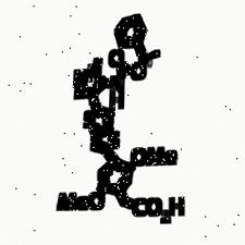 COc1cc(-c2cc3sc(-c4cnn(C)c4NC(=O)O[C@H](C)c4ccccc4)cc3s2)c(OC)cc1CC(=O)O